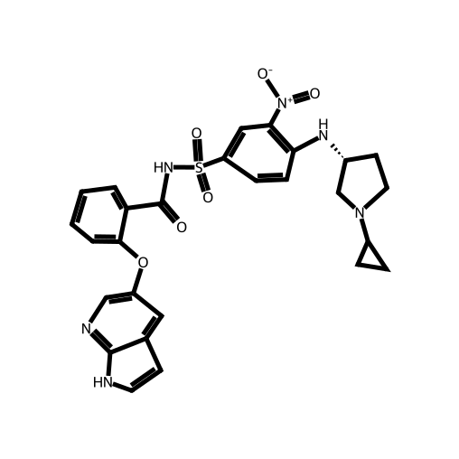 O=C(NS(=O)(=O)c1ccc(N[C@@H]2CCN(C3CC3)C2)c([N+](=O)[O-])c1)c1ccccc1Oc1cnc2[nH]ccc2c1